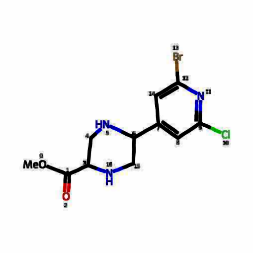 COC(=O)C1CNC(c2cc(Cl)nc(Br)c2)CN1